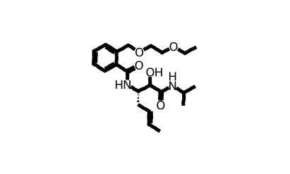 C/C=C/C[C@H](NC(=O)c1ccccc1COCCOCC)C(O)C(=O)NC(C)C